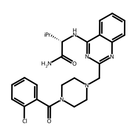 CC(C)[C@H](Nc1nc(CN2CCN(C(=O)c3ccccc3Cl)CC2)nc2ccccc12)C(N)=O